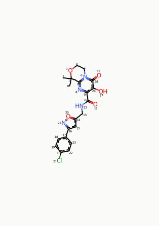 CC1(C)OCCn2c1nc(C(=O)NCc1cc(-c3ccc(Cl)cc3)no1)c(O)c2=O